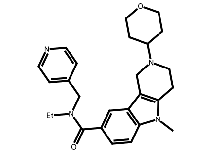 CCN(Cc1ccncc1)C(=O)c1ccc2c(c1)c1c(n2C)CCN(C2CCOCC2)C1